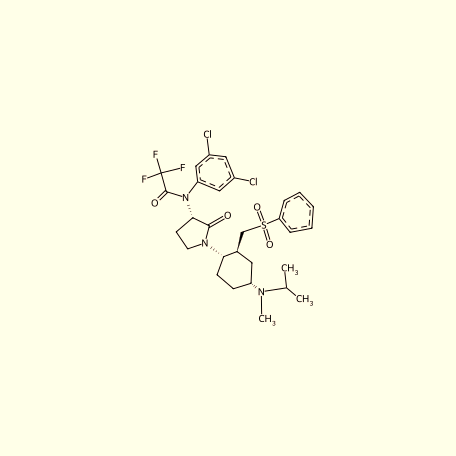 CC(C)N(C)[C@@H]1CC[C@H](N2CC[C@H](N(C(=O)C(F)(F)F)c3cc(Cl)cc(Cl)c3)C2=O)[C@@H](CS(=O)(=O)c2ccccc2)C1